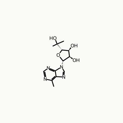 Cc1ncnc2c1ncn2[C@@H]1O[C@H](C(C)(C)O)[C@@H](O)[C@H]1O